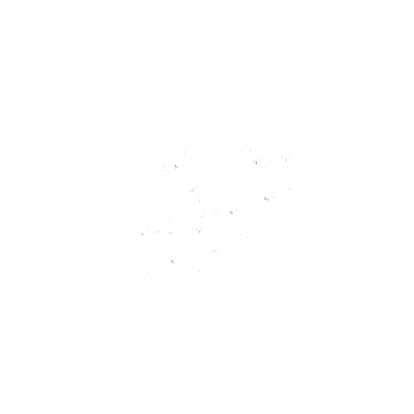 O=[N+]([O-])C(F)(CC([N+](=O)[O-])([N+](=O)[O-])[N+](=O)[O-])CC([N+](=O)[O-])([N+](=O)[O-])[N+](=O)[O-]